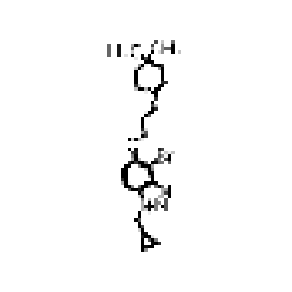 CC1(C)CCN(CCCOc2ccc3c(nnn3CC3CC3)c2Br)CC1